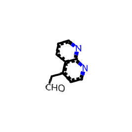 O=CCc1ccnc2ncccc12